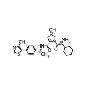 Cc1ncsc1-c1ccc([C@H](C)NC(=O)[C@@H]2C[C@@H](O)CN2C(=O)[C@@H](N)C2CCCCC2)cc1